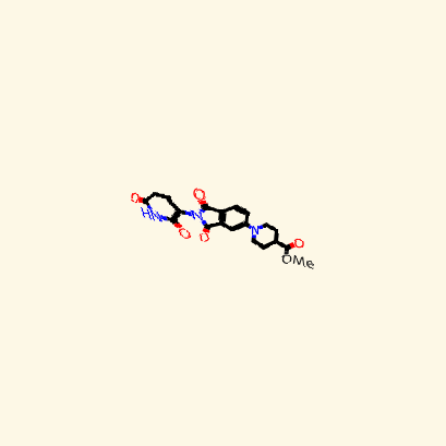 COC(=O)C1CCN(c2ccc3c(c2)C(=O)N(C2CCC(=O)NC2=O)C3=O)CC1